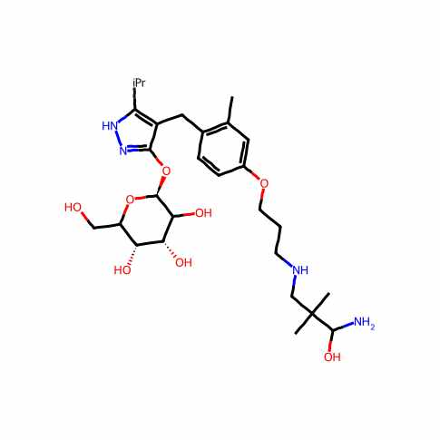 Cc1cc(OCCCNCC(C)(C)C(N)O)ccc1Cc1c(O[C@@H]2OC(CO)[C@@H](O)[C@@H](O)C2O)n[nH]c1C(C)C